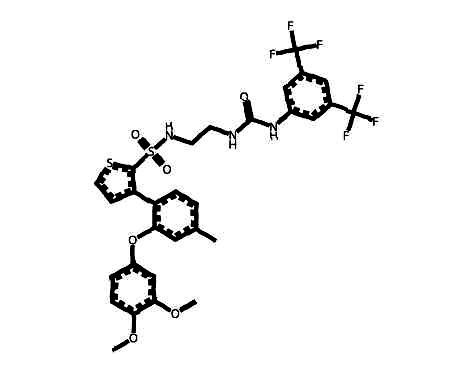 COc1ccc(Oc2cc(C)ccc2-c2ccsc2S(=O)(=O)NCCNC(=O)Nc2cc(C(F)(F)F)cc(C(F)(F)F)c2)cc1OC